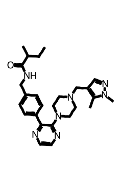 CCC(C)C(=O)NCc1ccc(-c2nccnc2N2CCN(Cc3cnn(C)c3C)CC2)cc1